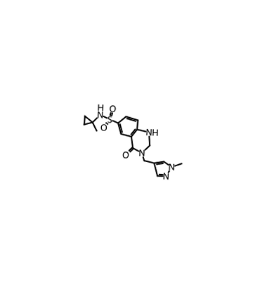 Cn1cc(CN2CNc3ccc(S(=O)(=O)NC4(C)CC4)cc3C2=O)cn1